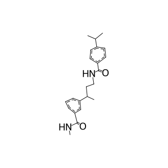 CNC(=O)c1cccc(C(C)CCNC(=O)c2ccc(C(C)C)cc2)c1